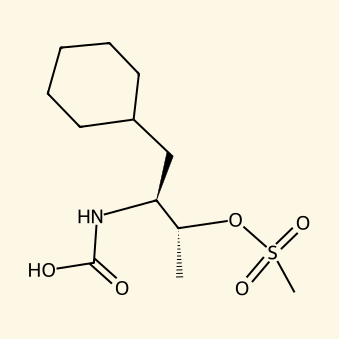 C[C@@H](OS(C)(=O)=O)[C@H](CC1CCCCC1)NC(=O)O